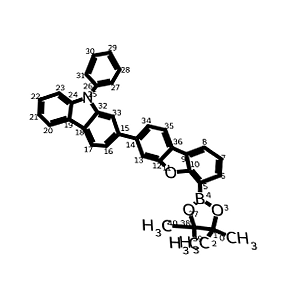 CC1(C)OB(c2cccc3c2oc2cc(-c4ccc5c6ccccc6n(-c6ccccc6)c5c4)ccc23)OC1(C)C